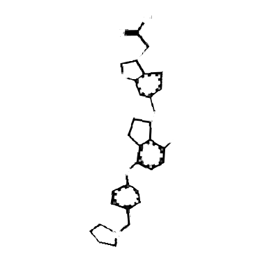 O=C(O)C[C@@H]1COc2cc(O[C@@H]3CCc4c(Oc5ccc(CN6CCCC6)cc5)ccc(F)c43)ccc21